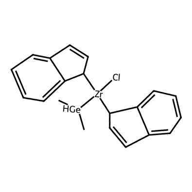 [CH3][GeH]([CH3])[Zr]([Cl])([CH]1C=Cc2ccccc21)[CH]1C=Cc2ccccc21